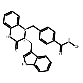 O=C(NO)c1ccc(CN2c3ccccc3NC(=O)[C@H]2Cc2c[nH]c3ccccc23)cc1